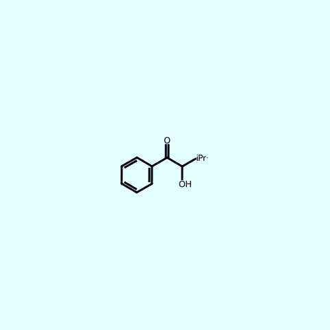 C[C](C)C(O)C(=O)c1ccccc1